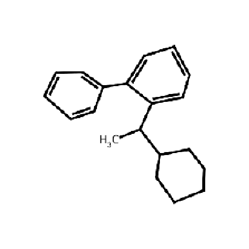 CC(c1ccccc1-c1ccccc1)C1CCCCC1